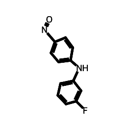 O=Nc1ccc(Nc2cccc(F)c2)cc1